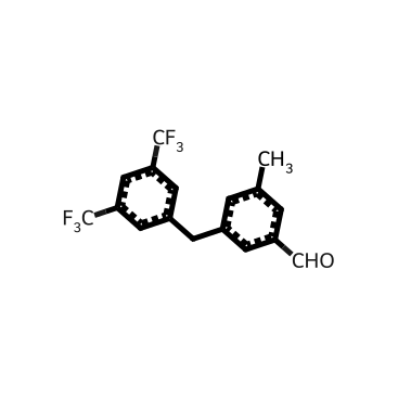 Cc1cc(C=O)cc(Cc2cc(C(F)(F)F)cc(C(F)(F)F)c2)c1